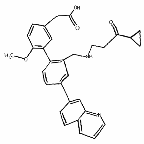 COc1ccc(CC(=O)O)cc1-c1ccc(-c2ccc3cccnc3c2)cc1CNCCC(=O)C1CC1